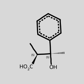 C[C@H](C(=O)O)[C@](C)(O)c1ccccc1